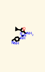 Nc1nc(Nc2ccc3cn[nH]c3c2)nc2c(C3CC3)coc12